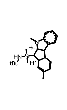 CC1=C[C@@H]2C(C=C1)C1c3ccccc3N(C)[C@@H]1C2[Si](C)(C)NC(C)(C)C